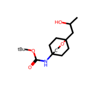 CC(O)CC12CCC(NC(=O)OC(C)(C)C)(CC1)CO2